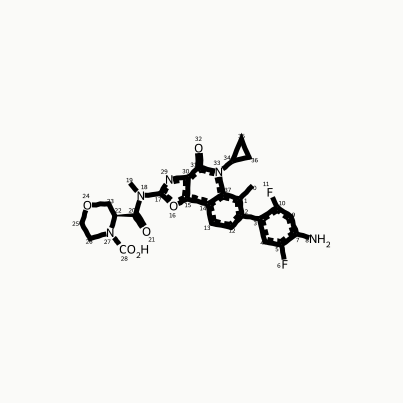 Cc1c(-c2cc(F)c(N)cc2F)ccc2c3oc(N(C)C(=O)[C@@H]4COCCN4C(=O)O)nc3c(=O)n(C3CC3)c12